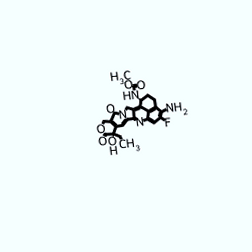 CC[C@@]1(O)C(=O)OCc2c1cc1n(c2=O)Cc2c-1nc1cc(F)c(N)c3c1c2[C@@H](NC(=O)OC)CC3